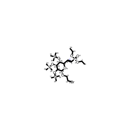 CCOP(=O)(/C=C/C1O[C@H](OCCBr)C(O[Si](C)(C)C)[C@@H](O[Si](C)(C)C)[C@@H]1O[Si](C)(C)C)OCC